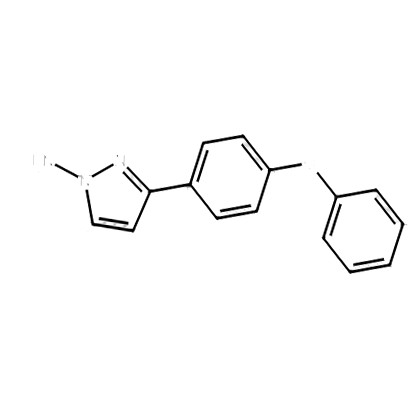 Nn1ccc(-c2ccc(Oc3ccccc3)cc2)n1